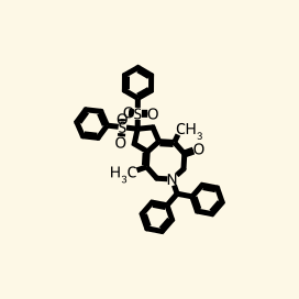 CC1=C2CC(S(=O)(=O)c3ccccc3)(S(=O)(=O)c3ccccc3)CC2=C(C)C(=O)CN(C(c2ccccc2)c2ccccc2)C1